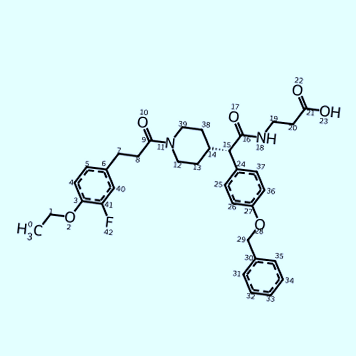 CCOc1ccc(CCC(=O)N2CCC([C@H](C(=O)NCCC(=O)O)c3ccc(OCc4ccccc4)cc3)CC2)cc1F